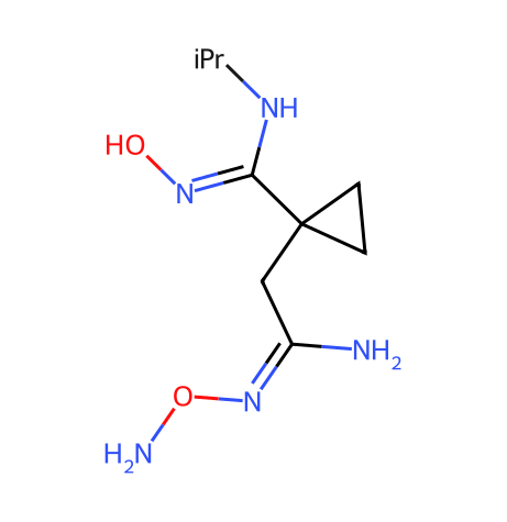 CC(C)N/C(=N\O)C1(C/C(N)=N\ON)CC1